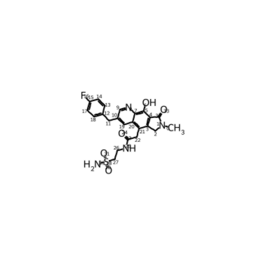 CN1Cc2c(c(O)c3ncc(Cc4ccc(F)cc4)cc3c2CC(=O)NCCS(N)(=O)=O)C1=O